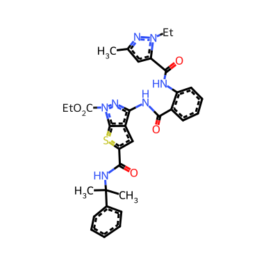 CCOC(=O)n1nc(NC(=O)c2ccccc2NC(=O)c2cc(C)nn2CC)c2cc(C(=O)NC(C)(C)c3ccccc3)sc21